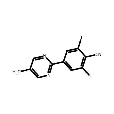 Cc1cnc(-c2cc(I)c(C#N)c(I)c2)nc1